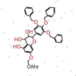 COCOc1cc(O)c2c(c1)OC(c1cc(OCc3ccccc3)c(OCc3ccccc3)c(OCc3ccccc3)c1)C(O)C2O